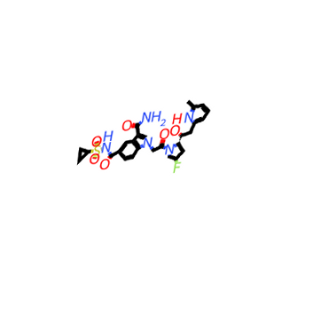 Cc1cccc(CC(O)[C@@H]2CC(F)CN2C(=O)Cn2cc(C(N)=O)c3cc(C(=O)NS(=O)(=O)C4CC4)ccc32)n1